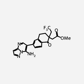 COC(=O)CC1(CC(F)(F)F)CCc2cc(-c3cnc4ccnn4c3N)ccc2C1=O